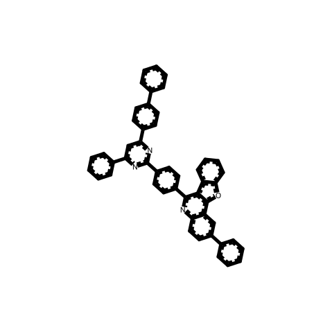 c1ccc(-c2ccc(-c3cc(-c4ccccc4)nc(-c4ccc(-c5nc6ccc(-c7ccccc7)cc6c6oc7ccccc7c56)cc4)n3)cc2)cc1